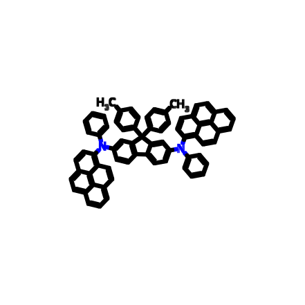 Cc1ccc(C2(c3ccc(C)cc3)c3cc(N(c4ccccc4)c4ccc5ccc6cccc7ccc4c5c67)ccc3-c3ccc(N(c4ccccc4)c4ccc5ccc6cccc7ccc4c5c67)cc32)cc1